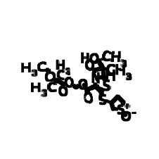 CCOC(C)(C)C(=O)OCOC(=O)C1=C(S[C@H]2CC[S+]([O-])C2)S[C@H]2N1C(=O)[C@]2(C)[C@@H](C)O